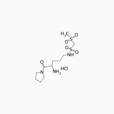 CS(=O)(=O)CS(=O)(=O)NCCCC(N)C(=O)N1CCCC1.Cl